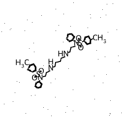 Cc1ccc(S(=O)(=O)N(CCCNCCCCCNCCCN(c2ccccc2)S(=O)(=O)c2ccc(C)cc2)c2ccccc2)cc1